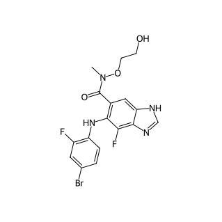 CN(OCCO)C(=O)c1cc2[nH]cnc2c(F)c1Nc1ccc(Br)cc1F